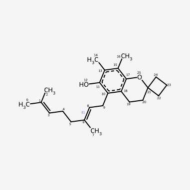 CC(C)=CCC/C(C)=C/Cc1c(O)c(C)c(C)c2c1CCC1(CCC1)O2